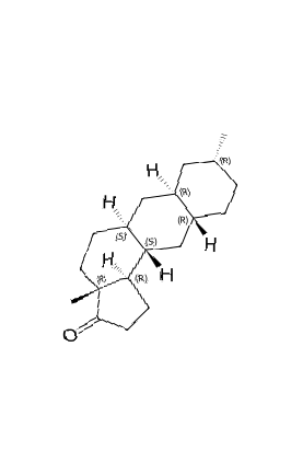 C[C@@H]1CC[C@@H]2C[C@H]3[C@@H](CC[C@@]4(C)C(=O)CC[C@H]34)C[C@H]2C1